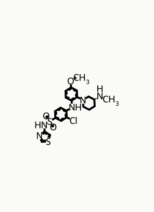 CN[C@@H]1CCCN(c2cc(OC)ccc2Nc2ccc(S(=O)(=O)Nc3cscn3)cc2Cl)C1